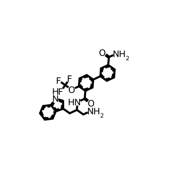 NCC(Cc1c[nH]c2ccccc12)NC(=O)c1cc(-c2cccc(C(N)=O)c2)ccc1OC(F)(F)F